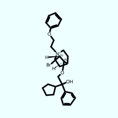 OC(CO[C@@H]1C2CC[N+](CCOc3ccccc3)(CC2)[C@H]1Br)(c1ccccc1)C1CCCC1